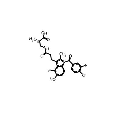 Cc1c(CCC(=O)NC[C@H](C)C(=O)O)c2c(F)c(O)ccc2n1C(=O)c1ccc(Cl)c(F)c1